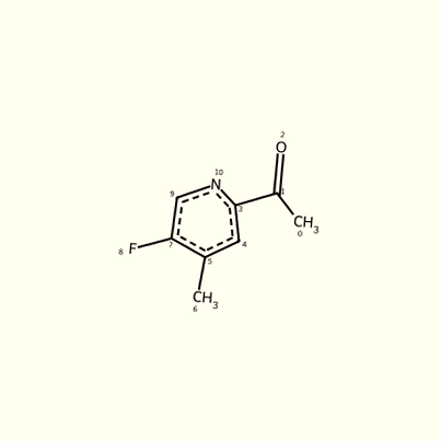 CC(=O)c1cc(C)c(F)cn1